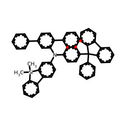 C[Si]1(C)c2ccccc2-c2ccc(N(c3ccc(C4(c5ccccc5)c5ccccc5-c5ccccc54)cc3)c3cc(-c4ccccc4)ccc3-c3ccccc3)cc21